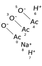 CC(=O)[O-].CC(=O)[O-].CC(=O)[O-].[H+].[H+].[Na+]